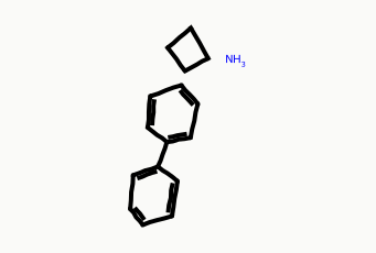 C1CCC1.N.c1ccc(-c2ccccc2)cc1